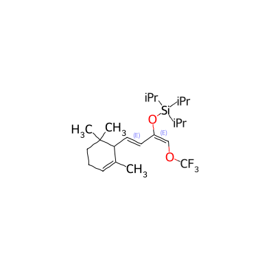 CC1=CCCC(C)(C)C1/C=C/C(=C\OC(F)(F)F)O[Si](C(C)C)(C(C)C)C(C)C